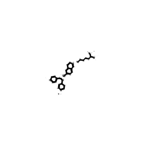 COc1ccc(-c2nc(-c3ccc4cc(OCCCCCC(C(=O)O)C(=O)O)ccc4c3)oc2-c2ccc(OC)cc2)cc1